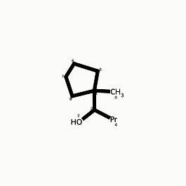 CC1([CH](O)[Pr])CCCC1